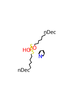 CCCCCCCCCCCCCCCCOP(O)(=S)SCCCCCCCCCCCCCCCC.c1ccncc1